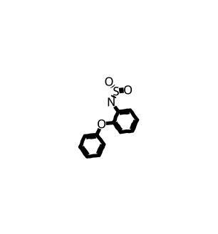 O=S(=O)=Nc1ccccc1Oc1ccccc1